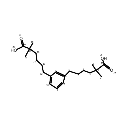 CC(C)(CCCCc1cccc(CCCCC(C)(C)C(=O)O)c1)C(=O)O